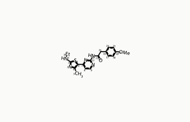 CCNc1nc(C)c(-c2ccnc(NC(=O)Cc3ccc(OC)cc3)n2)s1